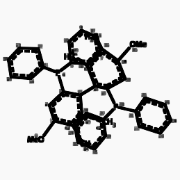 COc1cc(P(c2ccccc2)c2ccccc2)c(-c2c(P(c3ccccc3)c3ccccc3)cc(OC)c(C)c2C)c(C)c1C